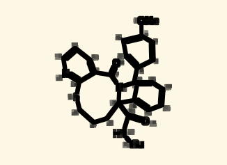 COc1ccc(CN2C(=O)c3cccnc3SCCCC2(C(=O)NC(C)(C)C)c2ccccc2)cc1